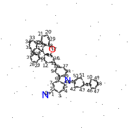 N#Cc1ccc2c(c1)c1cc(-c3ccc4c(c3)Oc3ccccc3C4(c3ccccc3)c3ccccc3)ccc1n2-c1ccc(-c2ccccc2)cc1